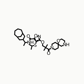 CC(C)Sc1c(OCC(C)(C)C(=O)N2CCC3(CC2)CNCCO3)noc1C(=O)NC(C)C1CC2CCCCC(C2)C1